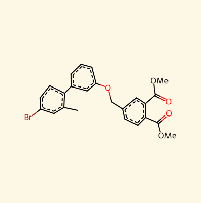 COC(=O)c1ccc(COc2cccc(-c3ccc(Br)cc3C)c2)cc1C(=O)OC